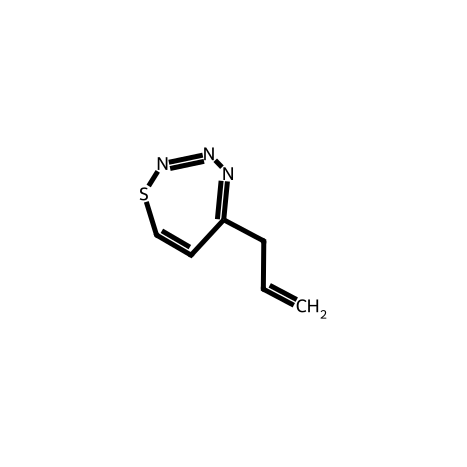 C=CCC1=NN=NSC=C1